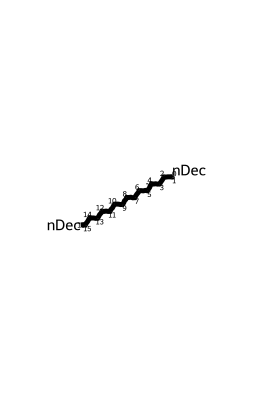 CCCCCCCCCCCCC[CH]CCCCCCCCCCCCCCCCCCCCC